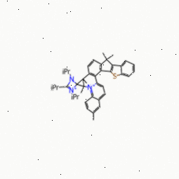 Cc1ccc2c(ccc3[n+]2C2(C)C(C)(c4ccc5c(c4-3)-c3sc4ccccc4c3C5(C)C)C23N(C(C)C)C(C(C)C)=[N+]3C(C)C)c1